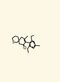 CCc1cc(C)cc(CC)c1C1=C(C)CC2(CCCSC2)CC1=O